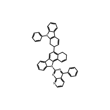 C1=Cc2c(c(C3C=Cc4c(n(-c5ccccc5)c5ccccc45)C3)cc3c4ccccc4n(-c4nc(-c5ccccc5)c5cccnc5n4)c23)CC1